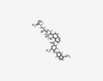 Cc1cc(Nc2ncnc3ccc4c(c23)OC[C@H]2CN(C(=O)/C=C/CN(C)C)CCN42)ccc1Oc1ccc2c(c1)ncn2C